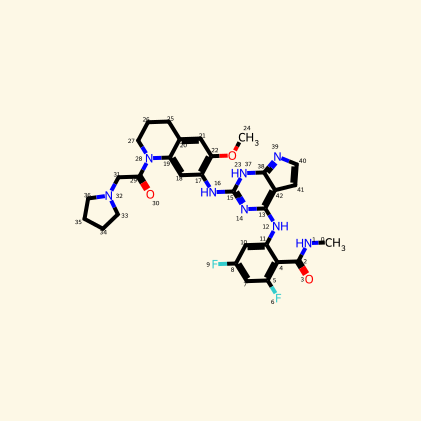 CNC(=O)c1c(F)cc(F)cc1Nc1nc(Nc2cc3c(cc2OC)CCCN3C(=O)CN2CCCC2)[nH]c2nccc1-2